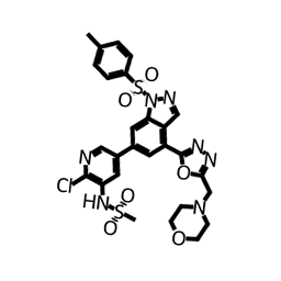 Cc1ccc(S(=O)(=O)n2ncc3c(-c4nnc(CN5CCOCC5)o4)cc(-c4cnc(Cl)c(NS(C)(=O)=O)c4)cc32)cc1